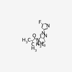 CCc1nn(-c2cncc(F)c2)cc1N(C)C(=O)C(C)C